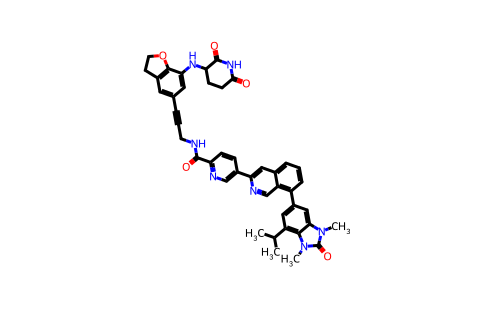 CC(C)c1cc(-c2cccc3cc(-c4ccc(C(=O)NCC#Cc5cc6c(c(NC7CCC(=O)NC7=O)c5)OCC6)nc4)ncc23)cc2c1n(C)c(=O)n2C